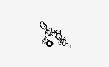 CS(=O)(=O)N1CCC(Nc2nc(N3CCOCC3)nc(-n3cnc4ccccc43)n2)CC1